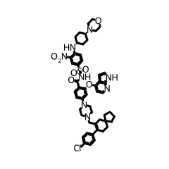 O=C(NS(=O)(=O)c1ccc(N[C@H]2CC[C@H](N3CCOCC3)CC2)c([N+](=O)[O-])c1)c1ccc(N2CCN(CC3=C(c4ccc(Cl)cc4)CCC4(CCCC4)C3)CC2)cc1Oc1ccnc2[nH]ccc12